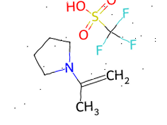 C=C(C)N1CCCC1.O=S(=O)(O)C(F)(F)F